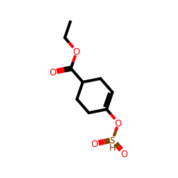 CCOC(=O)C1CC=C(O[SH](=O)=O)CC1